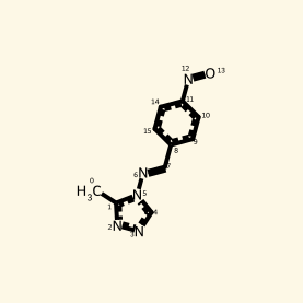 Cc1nncn1N=Cc1ccc(N=O)cc1